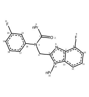 CCCC(=O)N(Cc1nc2c(F)cccc2n1CCC)c1cccc(F)c1